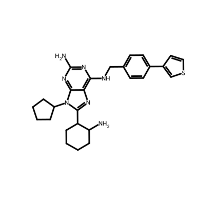 Nc1nc(NCc2ccc(-c3ccsc3)cc2)c2nc(C3CCCCC3N)n(C3CCCC3)c2n1